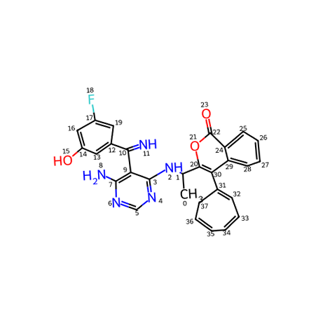 CC(Nc1ncnc(N)c1C(=N)c1cc(O)cc(F)c1)c1oc(=O)c2ccccc2c1C1=CC=CC=CC1